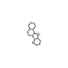 c1ccc2c(c1)ccc1c3ncccc3oc21